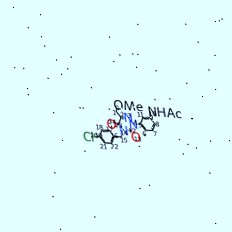 COCc1nn(-c2cccc(NC(C)=O)c2)c(=O)n(Cc2ccc(Cl)cc2)c1=O